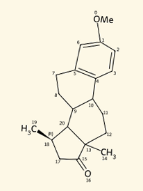 COc1ccc2c(c1)CCC1C2CCC2(C)C(=O)C[C@@H](C)C12